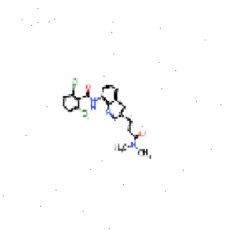 CN(C)C(=O)/C=C/c1cnc2c(NC(=O)c3c(Cl)cccc3Cl)cccc2c1